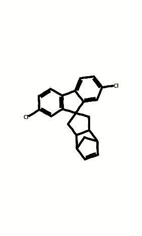 Clc1ccc2c(c1)C1(CC3C4C=CC(C4)C3C1)c1cc(Cl)ccc1-2